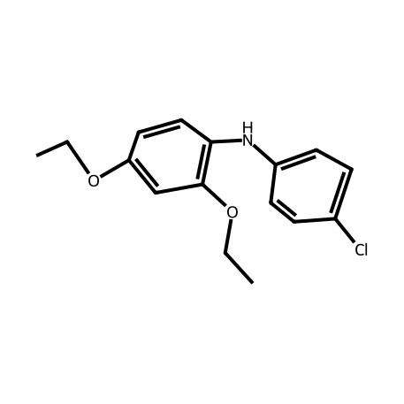 CCOc1ccc(Nc2ccc(Cl)cc2)c(OCC)c1